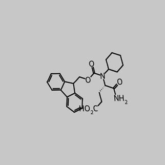 NC(=O)[C@H](CCC(=O)O)N(C(=O)OCC1c2ccccc2-c2ccccc21)C1CCCCC1